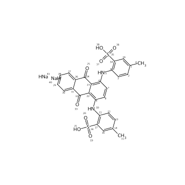 Cc1ccc(Nc2ccc(Nc3ccc(C)cc3S(=O)(=O)O)c3c2C(=O)c2ccccc2C3=O)c(S(=O)(=O)O)c1.[NaH].[NaH]